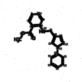 COC(=O)c1ccncc1NCc1cnn(-c2ccccc2)c1